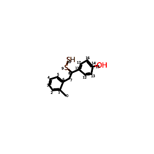 Cc1ccccc1CC(SS)c1ccc(O)cc1